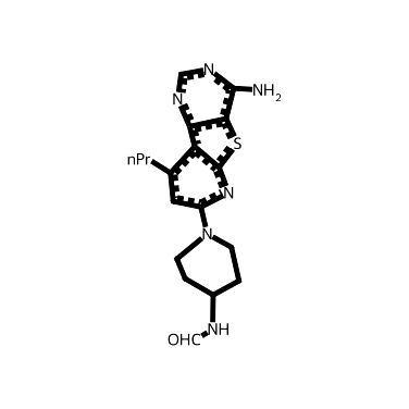 CCCc1cc(N2CCC(NC=O)CC2)nc2sc3c(N)ncnc3c12